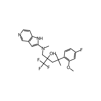 COc1cc(F)ccc1C(C)(C)CC(O)(CN(C)c1cc2cnccc2[nH]1)C(F)(F)F